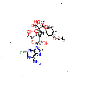 C#C[C@@H](O)[C@@H](O[C@@H](CO)COC(Cc1cccc(OC)c1)(C(=O)O)C(=O)O)n1cnc2c(N)nc(Cl)nc21